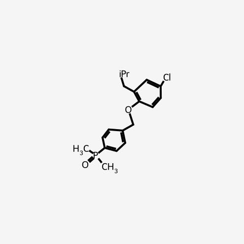 CC(C)Cc1cc(Cl)ccc1OCc1ccc(P(C)(C)=O)cc1